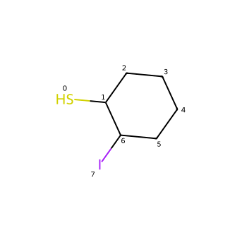 SC1CCCCC1I